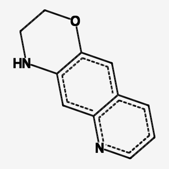 c1cnc2cc3c(cc2c1)OCCN3